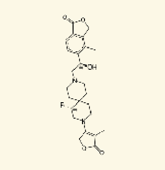 CC1=C(N2CCC3(CCN(C[C@H](O)c4ccc5c(c4C)COC5=O)CC3)[C@@H](F)C2)COC1=O